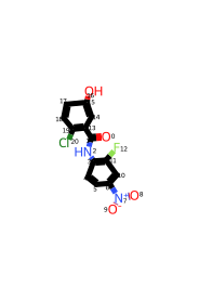 O=C(Nc1ccc([N+](=O)[O-])cc1F)c1cc(O)ccc1Cl